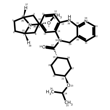 CO[C@H]1C[C@H]2CC[C@@H](C1)N2c1ccc2c(c1)N(C(=O)[C@H]1CC[C@H](OC(C)C)CC1)Cc1cccnc1N2